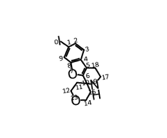 Ic1ccc2c3c(oc2c1)C1(CCOCC1)NCC3